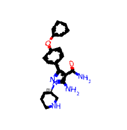 NC(=O)c1c(-c2ccc(Oc3ccccc3)cc2)nn([C@@H]2CCCNC2)c1N